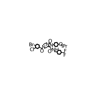 CC(C)Oc1ccc(-n2c(C(=O)NCc3ccc(C(F)F)cc3)c3n(c2=O)CCN(C(=O)c2ccc(Br)c(Cl)c2)C3)cc1